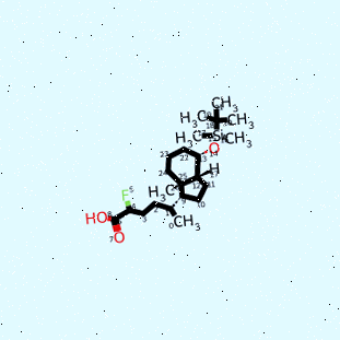 CC(CCC(F)C(=O)O)[C@H]1CC[C@H]2[C@@H](O[Si](C)(C)C(C)(C)C)CCC[C@]12C